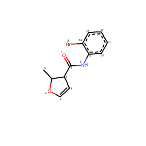 CC1OC=CC1C(=O)Nc1ccccc1Br